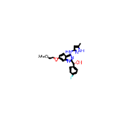 COCCOc1ccc2c(Nc3cc(C)[nH]n3)nc([C@H](O)c3ccc(F)cc3)nc2c1